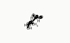 COc1cc(S(=O)(=O)NCCO)ccc1NCC#Cc1cc2c(NC3CCOCC3)cccc2n1CC(F)(F)F